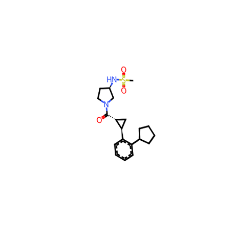 CS(=O)(=O)N[C@@H]1CCN(C(=O)[C@@H]2C[C@H]2c2ccccc2C2CCCC2)C1